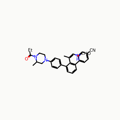 CCC(=O)N1CCN(c2ccc(-c3cccc(-c4ccc(C#N)cc4)c3/C(C)=C\NC=O)cc2)CC1C